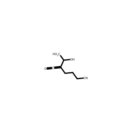 N#CCCCC(=C=O)C(O)C(=O)O